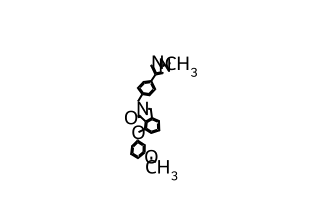 COc1cccc(Oc2cccc3c2C(=O)N(Cc2ccc(-c4cnn(C)c4)cc2)C3)c1